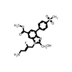 COC(=O)c1cc(-c2ccc(S(C)(=O)=O)cc2)c2nc(C)n(CC(F)=CCN)c2c1.Cl